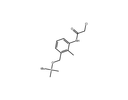 Cc1c(CO[Si](C)(C)C(C)(C)C)cccc1NC(=O)CCl